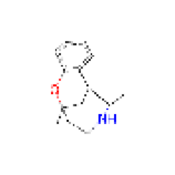 CC1NCCC2(C)CC1c1ccccc1O2